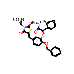 CCCN(CCC)C(=O)C(Oc1cc(C=C2SC(=O)N(CC(=O)O)C2=O)ccc1OCc1ccccc1)c1ccccc1